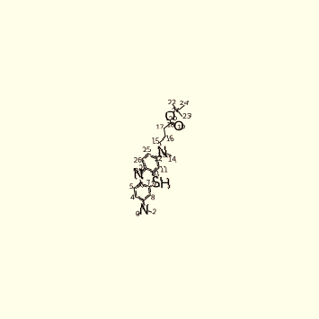 CN(C)c1ccc2c(c1)[SH]=c1cc(N(C)CCCC(=O)OC(C)(C)C)ccc1=N2